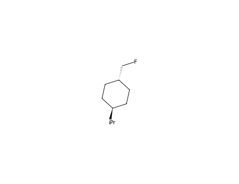 CC(C)[C@H]1CC[C@H](CF)CC1